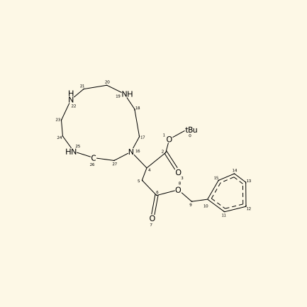 CC(C)(C)OC(=O)C(CC(=O)OCc1ccccc1)N1CCNCCNCCNCC1